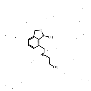 OCCNCc1cccc2c1B(O)OC2